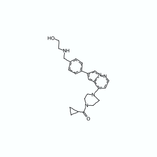 O=C(C1CC1)N1CCN(c2ccnn3cc(-c4ccc(CNCCO)cc4)cc23)CC1